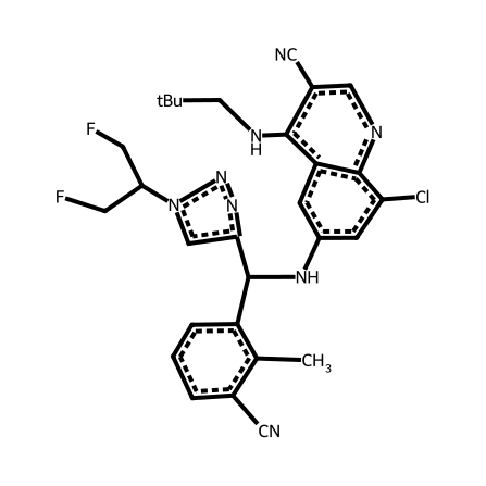 Cc1c(C#N)cccc1C(Nc1cc(Cl)c2ncc(C#N)c(NCC(C)(C)C)c2c1)c1cn(C(CF)CF)nn1